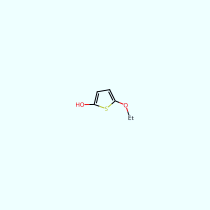 CCOc1ccc(O)s1